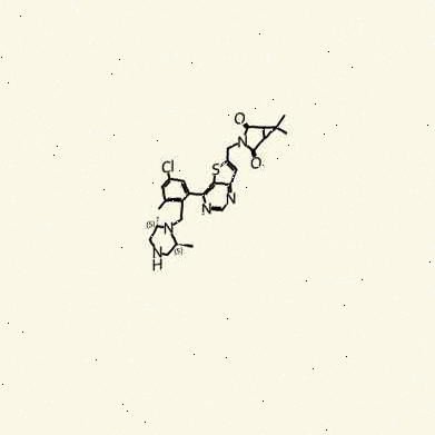 Cc1cc(Cl)cc(-c2ncnc3cc(CN4C(=O)C5C(C4=O)C5(C)C)sc23)c1CN1[C@@H](C)CNC[C@@H]1C